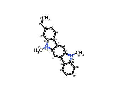 C=Cc1ccc2c3cc4c(cc3n(C)c2c1)c1ccccc1n4C